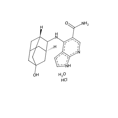 Cl.NC(=O)c1cnc2[nH]ccc2c1NC1[C@@H]2CC3C[C@H]1CC(O)(C3)C2.O